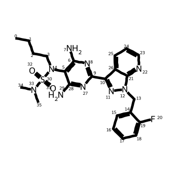 CCCCN(c1c(N)nc(-c2nn(Cc3ccccc3F)c3ncccc23)nc1N)S(=O)(=O)N(C)C